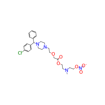 CN(CCOC(=O)COCCN1CCN(C(c2ccccc2)c2ccc(Cl)cc2)CC1)CCO[N+](=O)[O-]